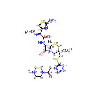 CON=C(C(=O)NC1C(=O)N2CC(CSc3nnnn3CC(=O)N3CCN(C)CC3)(C(=O)O)CS[C@H]12)c1csc(N)n1